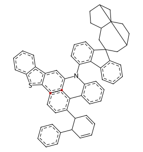 C1=CC(c2ccccc2)C(c2ccccc2-c2ccccc2N(c2ccc3sc4ccccc4c3c2)c2cccc3c2-c2ccccc2C32CC3CCC4CC3CCC4C2)C=C1